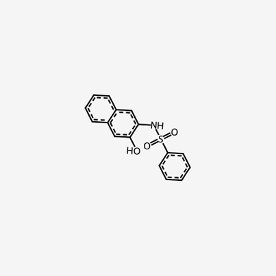 O=S(=O)(Nc1cc2ccccc2cc1O)c1ccccc1